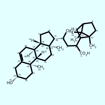 CC(CC(C(=O)O)C1CC2CCC1(C)C2(C)C)[C@H]1CC[C@H]2[C@@H]3CC=C4C[C@@H](O)CC[C@]4(C)[C@H]3CC[C@]12C